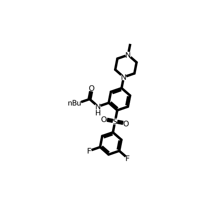 CCCCC(=O)Nc1cc(N2CCN(C)CC2)ccc1S(=O)(=O)c1cc(F)cc(F)c1